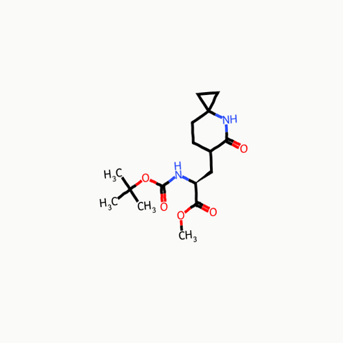 COC(=O)[C@H](CC1CCC2(CC2)NC1=O)NC(=O)OC(C)(C)C